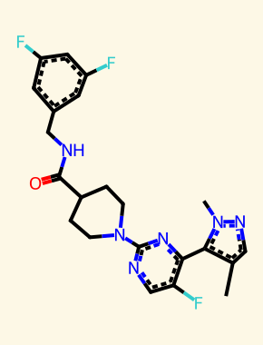 Cc1cnn(C)c1-c1nc(N2CCC(C(=O)NCc3cc(F)cc(F)c3)CC2)ncc1F